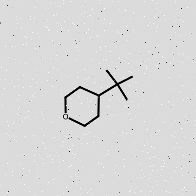 CC(C)(C)C1CCOCC1